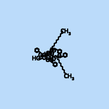 CCCCCCCCCCC[C@H](CC(=O)NC1C(OC(=O)C[C@@H](CCCCCCCCCCC)OCc2ccccc2)[C@@H]2OC(OCc3ccccc3)C(CO)CC2O[C@@H]1OCc1ccccc1)OCc1ccccc1